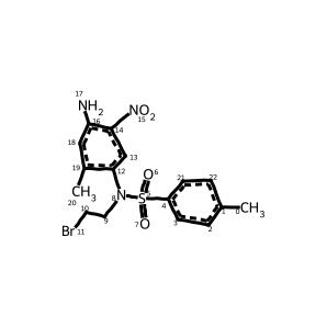 Cc1ccc(S(=O)(=O)N(CCBr)c2cc([N+](=O)[O-])c(N)cc2C)cc1